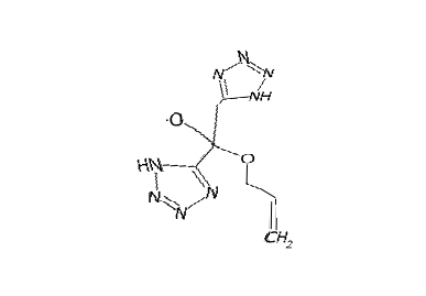 C=CCOC([O])(c1nnn[nH]1)c1nnn[nH]1